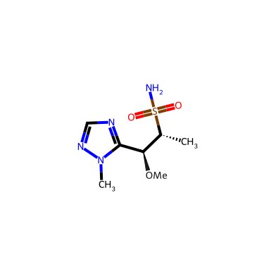 CO[C@@H](c1ncnn1C)[C@@H](C)S(N)(=O)=O